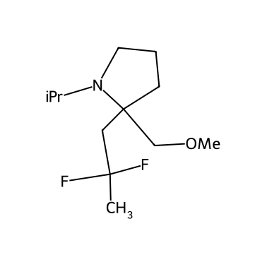 COCC1(CC(C)(F)F)CCCN1C(C)C